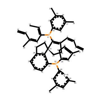 C=C/C=C\C1=C(P(C(/C=C(/C)C=C)=C/C)c2cc(C)cc(C)c2)[C@@]2(CC1)CCc1cccc(P(C3=CC(C)=CC3)c3cc(C)cc(C)c3)c12